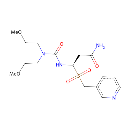 COCCN(CCOC)C(=O)N[C@@H](CC(N)=O)S(=O)(=O)Cc1cccnc1